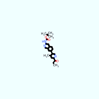 CCC(=O)c1cc(C)c(-c2ccc3cc(NC(=O)OC(C)(C)C)ncc3c2)cn1